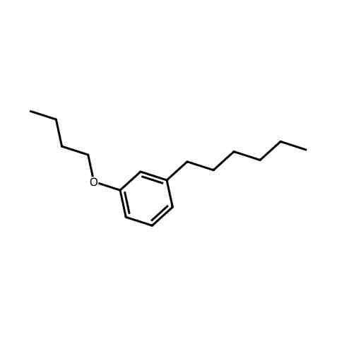 CCCCCCc1cccc(OCCCC)c1